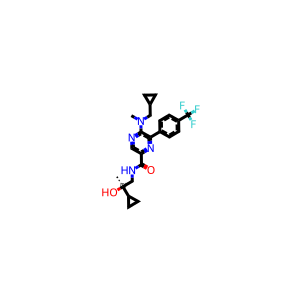 CN(CC1CC1)c1ncc(C(=O)NC[C@](C)(O)C2CC2)nc1-c1ccc(C(F)(F)F)cc1